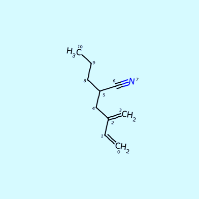 C=CC(=C)CC(C#N)CCC